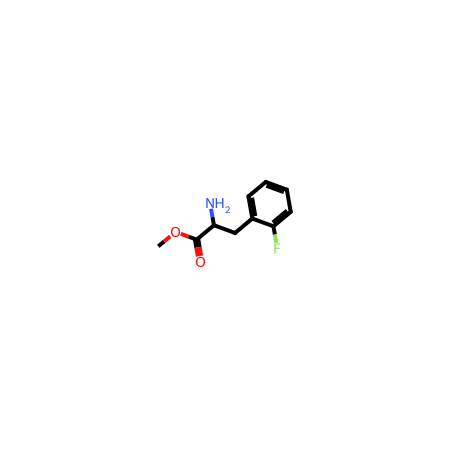 COC(=O)C(N)Cc1ccccc1F